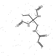 C=CC(=O)NCC(CC)(NC=O)NC=O